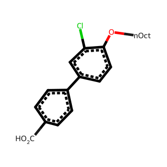 CCCCCCCCOc1ccc(-c2ccc(C(=O)O)cc2)cc1Cl